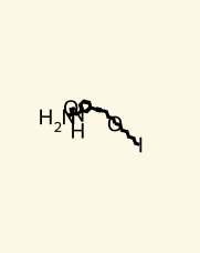 NC(=O)Nc1cccc(C#CCCCOCCCCCCI)c1